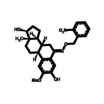 COc1cc2c(cc1O)/C(=N/OCc1ccccc1[N+](=O)[O-])C[C@@H]1[C@@H]2CC[C@]2(C)[C@@H](O)CC[C@@H]12